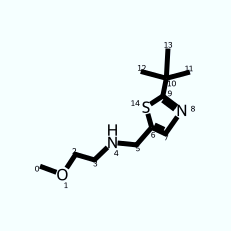 COCCNCc1cnc(C(C)(C)C)s1